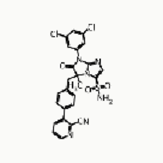 CC1(Cc2ccc(-c3cccnc3C#N)cc2)C(=O)N(c2cc(Cl)cc(Cl)c2)c2ncc(S(N)(=O)=O)n21